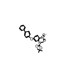 CN(C(=O)OC(C)(C)C)c1cc(Oc2ccc(-c3ccccc3)cc2)ccc1[N+](=O)[O-]